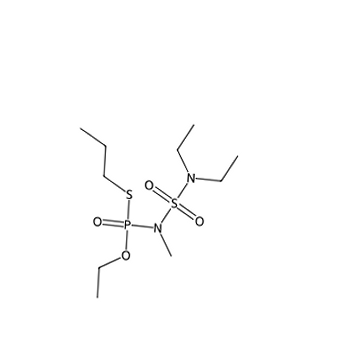 CCCSP(=O)(OCC)N(C)S(=O)(=O)N(CC)CC